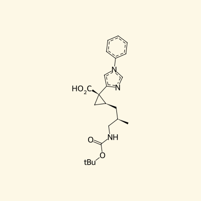 C[C@@H](CNC(=O)OC(C)(C)C)C[C@H]1C[C@]1(C(=O)O)c1cn(-c2ccccc2)cn1